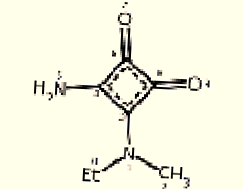 CCN(C)c1c(N)c(=O)c1=O